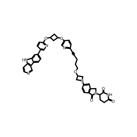 O=C1CCC(N2Cc3cc(N4CC(OCCCC#Cc5ccc(OC6CC(Oc7ccc(-c8ccc9c(c8)[nH]c8ccncc89)cn7)C6)cn5)C4)ccc3C2=O)C(=O)N1